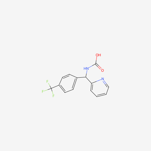 O=C(O)NC(c1ccc(C(F)(F)F)cc1)c1ccccn1